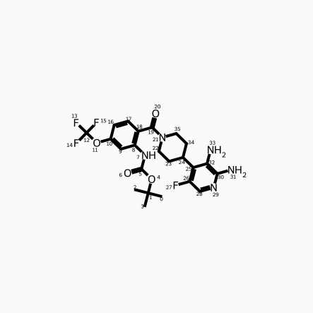 CC(C)(C)OC(=O)Nc1cc(OC(F)(F)F)ccc1C(=O)N1CCC(c2c(F)cnc(N)c2N)CC1